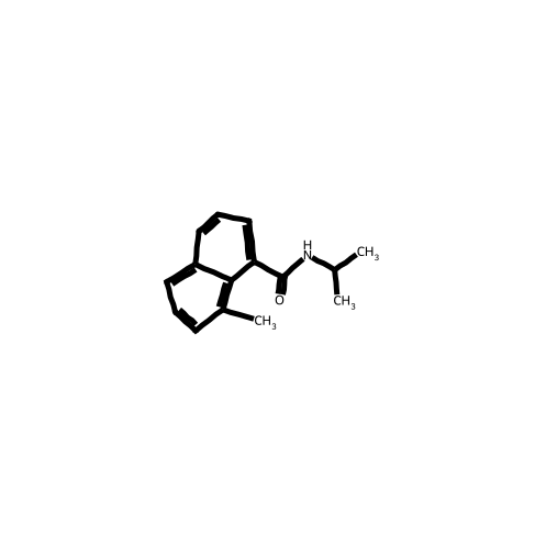 Cc1cccc2cccc(C(=O)NC(C)C)c12